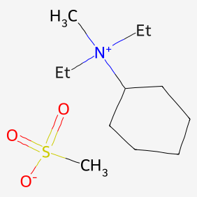 CC[N+](C)(CC)C1CCCCC1.CS(=O)(=O)[O-]